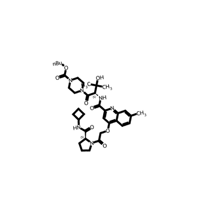 CCCCOC(=O)N1CCN(C(=O)[C@@H](NC(=O)c2cc(OCC(=O)N3CCC[C@H]3C(=O)NC3CCC3)c3ccc(C)cc3n2)C(C)(C)O)CC1